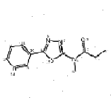 [CH2]CC(=O)N(C)c1nnc(-c2cccnc2)s1